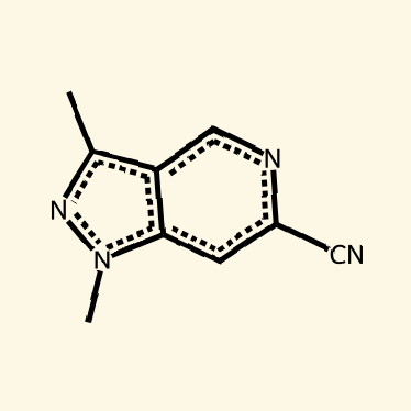 Cc1nn(C)c2cc(C#N)ncc12